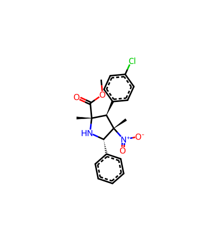 COC(=O)[C@@]1(C)N[C@@H](c2ccccc2)[C@@](C)([N+](=O)[O-])[C@@H]1c1ccc(Cl)cc1